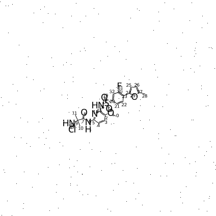 COc1ccc(NC(=O)C(C)(C)NCl)nc1NS(=O)(=O)c1ccc(-c2ccc(C)o2)c(F)c1